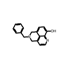 Oc1ccc2c3c(ccnc13)CN(Cc1ccccc1)C2